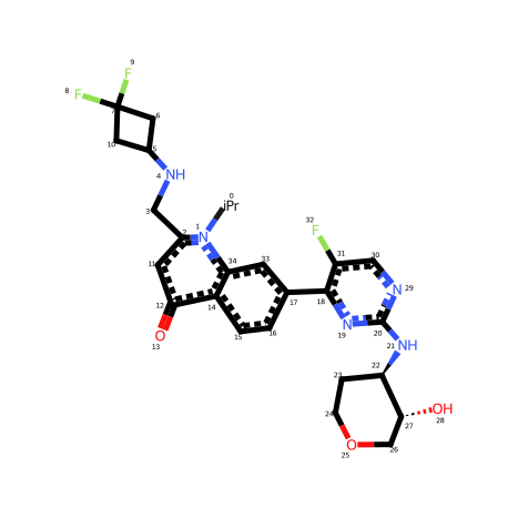 CC(C)n1c(CNC2CC(F)(F)C2)cc(=O)c2ccc(-c3nc(N[C@@H]4CCOC[C@H]4O)ncc3F)cc21